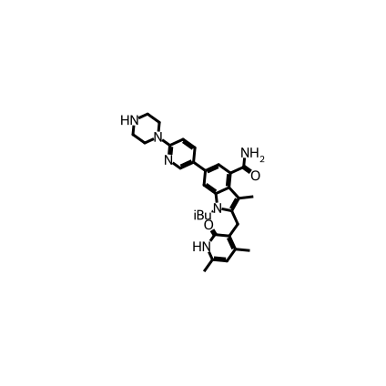 CC[C@H](C)n1c(Cc2c(C)cc(C)[nH]c2=O)c(C)c2c(C(N)=O)cc(-c3ccc(N4CCNCC4)nc3)cc21